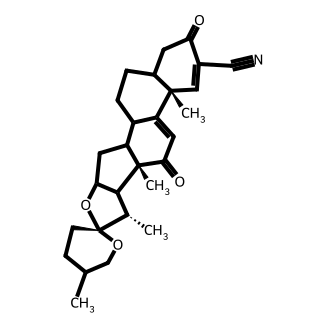 CC1CC[C@@]2(OC1)OC1CC3C4CCC5CC(=O)C(C#N)=C[C@]5(C)C4=CC(=O)[C@]3(C)C1[C@@H]2C